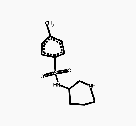 Cc1ccc(S(=O)(=O)NC2CCCNC2)cc1